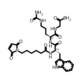 BC(=O)CNC(=O)[C@H](CCCNC(N)=O)NC(=O)[C@H](Cc1c[nH]c2ccccc12)NC(=O)CCCCCN1C(=O)C=CC1=O